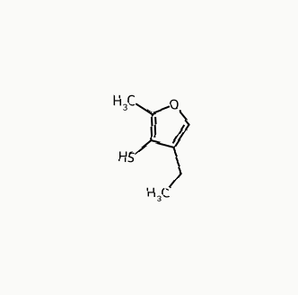 CCc1coc(C)c1S